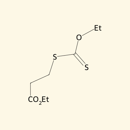 CCOC(=O)CCSC(=S)OCC